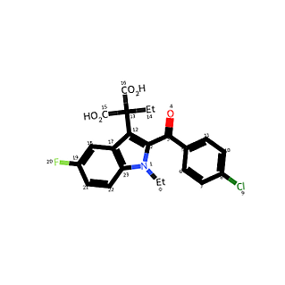 CCn1c(C(=O)c2ccc(Cl)cc2)c(C(CC)(C(=O)O)C(=O)O)c2cc(F)ccc21